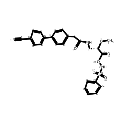 CO[C@@H](CNC(=O)Cc1ccc(-c2ccc(C#N)cc2)cc1)C(=O)ONS(=O)(=O)c1ccccc1